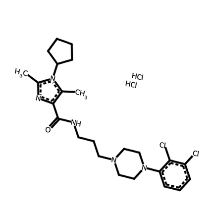 Cc1nc(C(=O)NCCCN2CCN(c3cccc(Cl)c3Cl)CC2)c(C)n1C1CCCC1.Cl.Cl